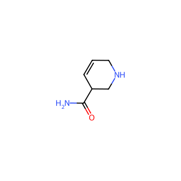 NC(=O)C1C=CCNC1